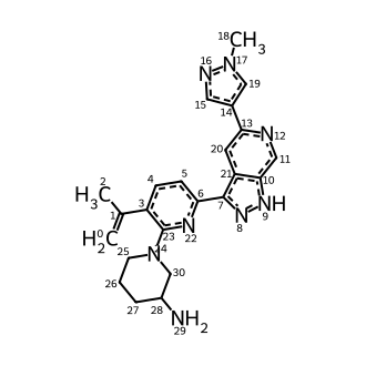 C=C(C)c1ccc(-c2n[nH]c3cnc(-c4cnn(C)c4)cc23)nc1N1CCCC(N)C1